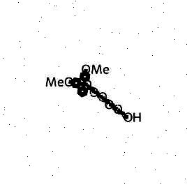 COc1ccc(C(OCCOCCOCCOCCOCCCO)(c2ccccc2)c2ccc(OC)cc2)cc1